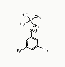 C[N+](C)(C)C.O=S(=O)(O)c1cc(C(F)(F)F)cc(C(F)(F)F)c1